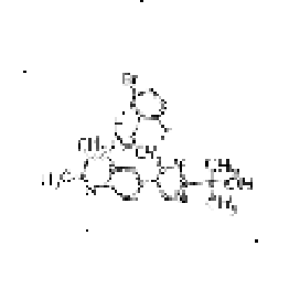 Cc1nc2ccc(-c3cnc(C(C)(C)O)nc3)cc2c(N[C@H](C)c2cc(Br)ccc2F)c1C